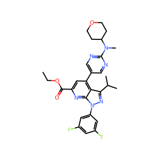 CCOC(=O)c1cc(-c2cnc(N(C)C3CCOCC3)nc2)c2c(C(C)C)nn(-c3cc(F)cc(F)c3)c2n1